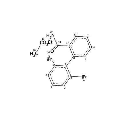 CC(C)c1cccc(C(C)C)c1-c1ccccc1C(N)=O.CCOC(C)=O